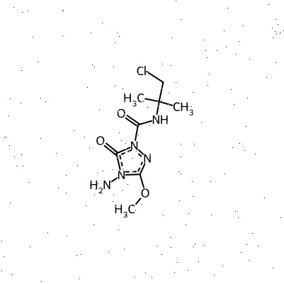 COc1nn(C(=O)NC(C)(C)CCl)c(=O)n1N